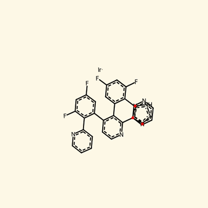 Fc1cc(F)c(-c2ccccn2)c(-c2ccnc(-c3nn[nH]n3)c2-c2cc(F)cc(F)c2-c2ccccn2)c1.[Ir]